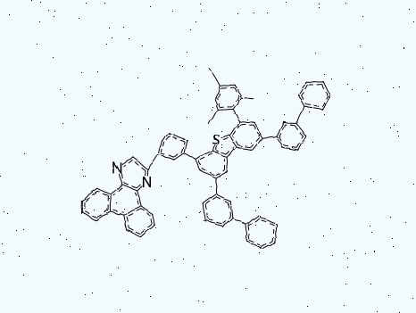 Cc1cc(C)c(-c2cc(-c3cccc(-c4ccccc4)c3)cc3c2sc2c(-c4cccc(-c5cnc6c7ccccc7c7ccccc7c6n5)c4)cc(-c4cccc(-c5ccccc5)c4)cc23)c(C)c1